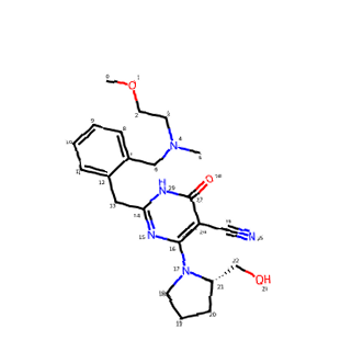 COCCN(C)Cc1ccccc1Cc1nc(N2CCC[C@H]2CO)c(C#N)c(=O)[nH]1